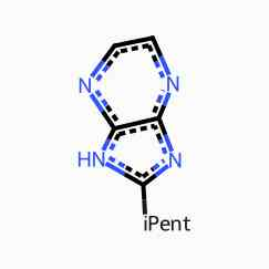 CCCC(C)c1nc2nccnc2[nH]1